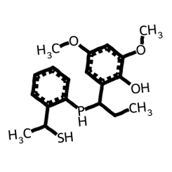 CCC(Pc1ccccc1C(C)S)c1cc(OC)cc(OC)c1O